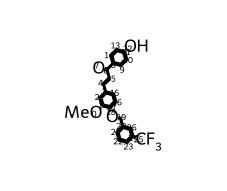 COc1cc(/C=C/C(=O)c2ccc(O)cc2)ccc1OCc1cccc(C(F)(F)F)c1